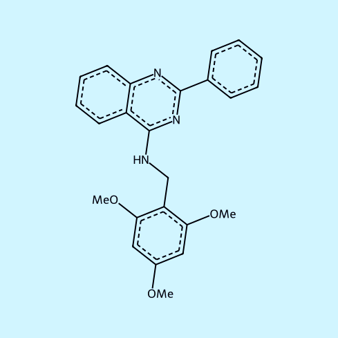 COc1cc(OC)c(CNc2nc(-c3ccccc3)nc3ccccc23)c(OC)c1